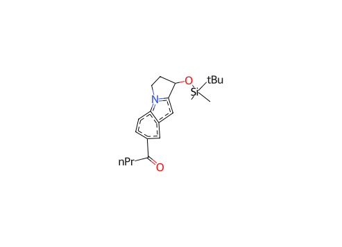 CCCC(=O)c1ccc2c(c1)cc1n2CCC1O[Si](C)(C)C(C)(C)C